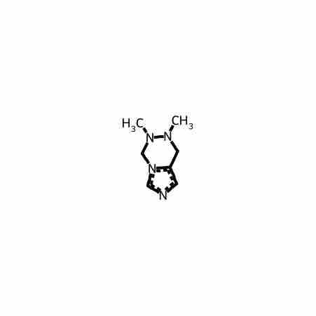 CN1Cc2cncn2CN1C